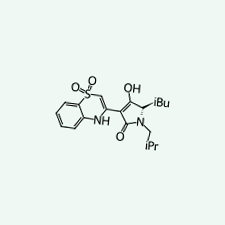 CC[C@H](C)[C@H]1C(O)=C(C2=CS(=O)(=O)c3ccccc3N2)C(=O)N1CC(C)C